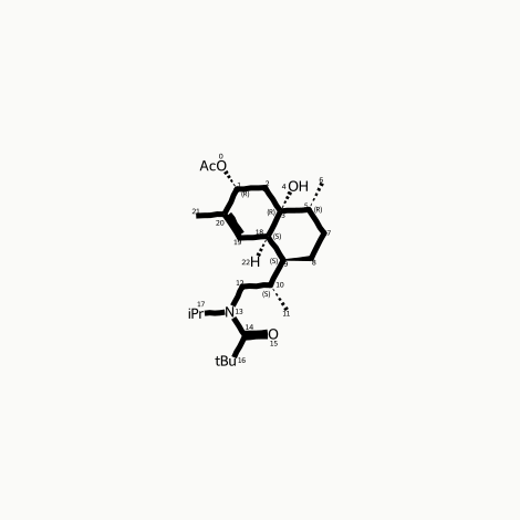 CC(=O)O[C@@H]1[C][C@@]2(O)[C@H](C)CC[C@@H]([C@H](C)CN(C(=O)C(C)(C)C)C(C)C)[C@H]2C=C1C